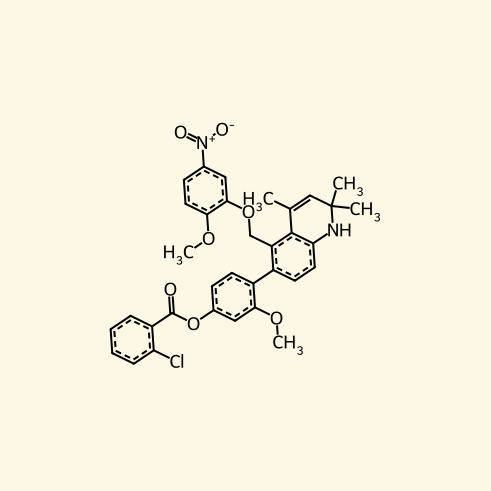 COc1ccc([N+](=O)[O-])cc1OCc1c(-c2ccc(OC(=O)c3ccccc3Cl)cc2OC)ccc2c1C(C)=CC(C)(C)N2